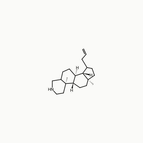 C=CCC1CC[C@@]2(C)CC[C@H]3[C@@H](CCC4CNCC[C@@]43C)[C@H]12